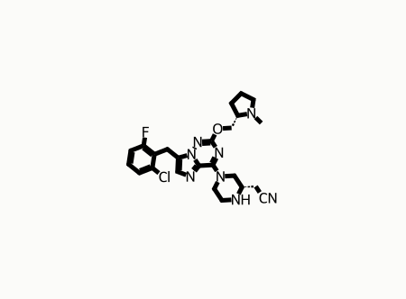 CN1CCC[C@H]1COc1nc(N2CCN[C@@H](CC#N)C2)c2ncc(Cc3c(F)cccc3Cl)n2n1